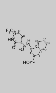 O=C(NC1CC(CO)Cc2ccccc21)c1ccc(C(F)(F)F)[nH]c1=O